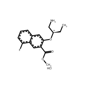 CC[C@H](CN)Oc1cc2cccc(F)c2cc1C(=O)OC.Cl